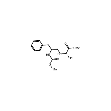 CCC[C@H](NC[C@H](Cc1ccccc1)NC(=O)OC(C)(C)C)C(=O)OC